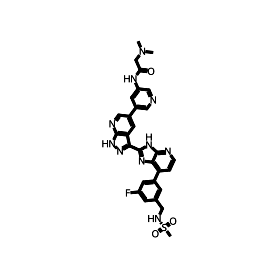 CN(C)CC(=O)Nc1cncc(-c2cnc3[nH]nc(-c4nc5c(-c6cc(F)cc(CNS(C)(=O)=O)c6)ccnc5[nH]4)c3c2)c1